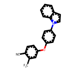 N#Cc1ccc(Oc2ccc(-n3ccc4ccccc43)cc2)cc1C(F)(F)F